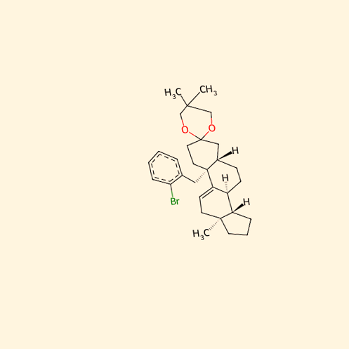 CC1(C)COC2(CC[C@]3(Cc4ccccc4Br)C4=CC[C@]5(C)CCC[C@H]5[C@@H]4CC[C@H]3C2)OC1